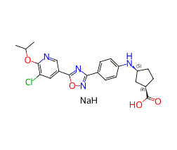 CC(C)Oc1ncc(-c2nc(-c3ccc(N[C@H]4CC[C@@H](C(=O)O)C4)cc3)no2)cc1Cl.[NaH]